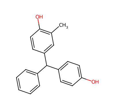 Cc1cc(C(c2ccccc2)c2ccc(O)cc2)ccc1O